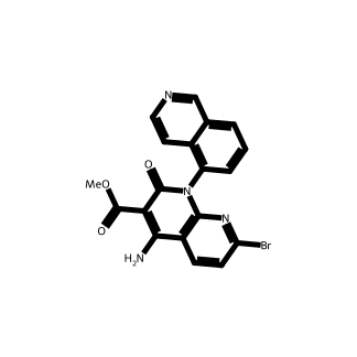 COC(=O)c1c(N)c2ccc(Br)nc2n(-c2cccc3cnccc23)c1=O